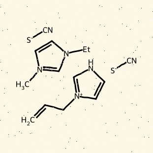 C=CC[n+]1cc[nH]c1.CCn1cc[n+](C)c1.N#C[S-].N#C[S-]